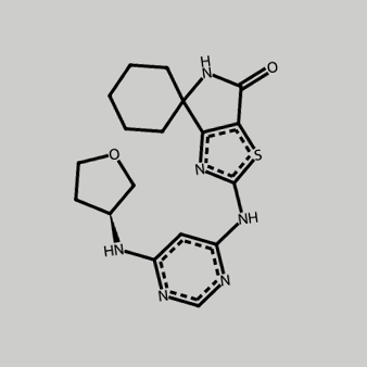 O=C1NC2(CCCCC2)c2nc(Nc3cc(N[C@H]4CCOC4)ncn3)sc21